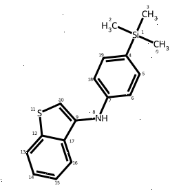 C[Si](C)(C)c1ccc(Nc2csc3ccccc23)cc1